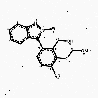 CCn1nc2ccccc2c1-c1ccc(C#N)c(OCOC)c1CO